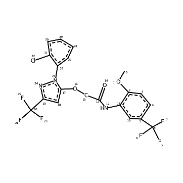 COc1ccc(C(F)(F)F)cc1NC(=O)COc1cc(C(F)(F)F)nn1-c1ccccc1Cl